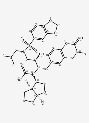 CC(C)CN(C[C@@H](O)[C@H](Cc1ccc(OC(=N)N(C)C)cc1)N(C(=O)O)[C@H]1CO[C@H]2OCC[C@H]21)S(=O)(=O)c1ccc2c(c1)OCO2